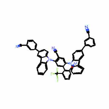 N#Cc1cccc(-c2ccc3c(c2)c2ccccc2n3-c2cc(-c3c(C#N)cccc3C(F)(F)F)c(-n3c4ccccc4c4cc(-c5cccc(C#N)c5)ccc43)cc2C#N)c1